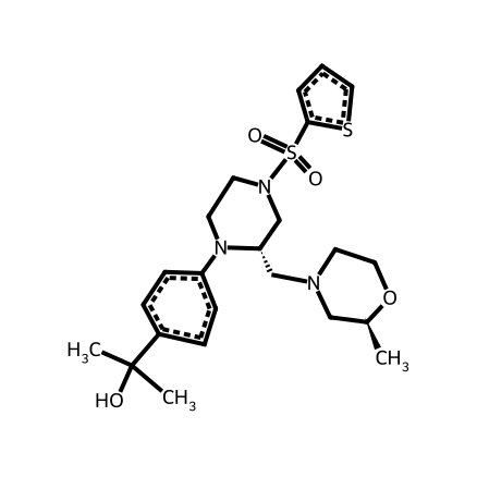 C[C@H]1CN(C[C@H]2CN(S(=O)(=O)c3cccs3)CCN2c2ccc(C(C)(C)O)cc2)CCO1